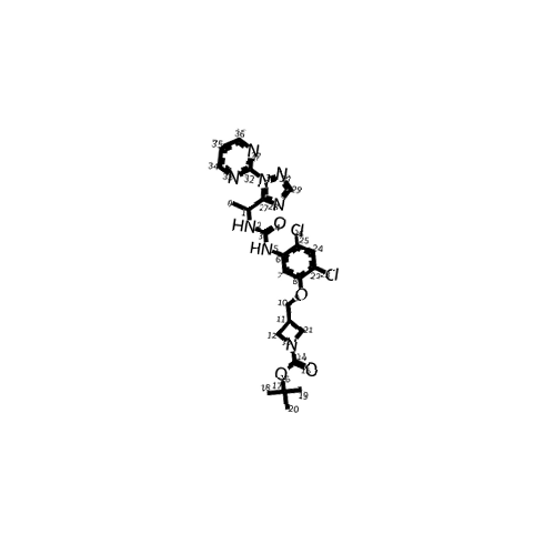 CC(NC(=O)Nc1cc(OCC2CN(C(=O)OC(C)(C)C)C2)c(Cl)cc1Cl)c1ncnn1-c1ncccn1